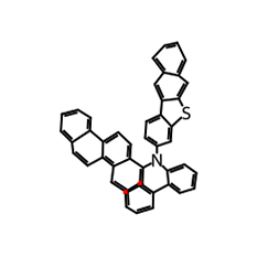 c1ccc(-c2ccccc2N(c2ccc3c(c2)sc2cc4ccccc4cc23)c2cccc3c2ccc2c4ccccc4ccc32)cc1